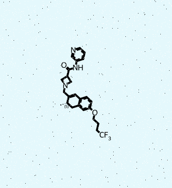 C[C@H]1Cc2cc(OCCCC(F)(F)F)ccc2C=C1CN1CC(C(=O)Nc2cccnc2)C1